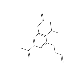 C=CCCc1cc(C(=C)C)cc(CC=C)c1C(C)I